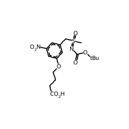 CC(C)(C)OC(=O)N=S(C)(=O)Cc1cc(OCCCC(=O)O)cc([N+](=O)[O-])c1